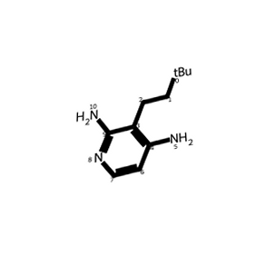 CC(C)(C)CCc1c(N)ccnc1N